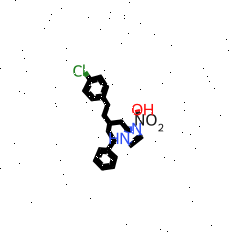 Clc1ccc(CCC(CCc2ccccc2)Cc2ncc[nH]2)cc1.O=[N+]([O-])O